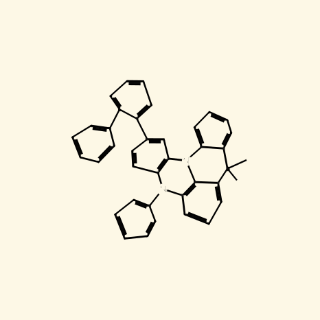 CC1(C)c2ccccc2N2c3cc(-c4ccccc4-c4ccccc4)ccc3N(c3ccccc3)c3cccc1c32